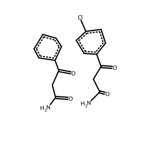 NC(=O)CC(=O)c1ccc(Cl)cc1.NC(=O)CC(=O)c1ccccc1